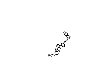 Cc1c(OCCCN2CCCC3(CCOCC3)C2)cccc1-c1cccc(-c2nc3c(s2)CN(CCO)CC3)c1C